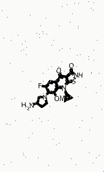 COc1c(N2CCC(N)C2)c(F)cc2c(=O)c3c(=O)[nH]sc3n(C3CC3)c12